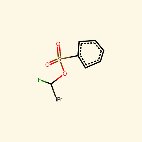 CC(C)C(F)OS(=O)(=O)c1ccccc1